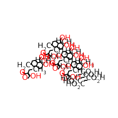 C=C1CC[C@@H]2[C@](C)(CO)[C@H](O)CC[C@@]2(C)[C@@H]1CCC1=C(O)COC1=O.C=C1CC[C@@H]2[C@](C)(CO)[C@H](O)CC[C@@]2(C)[C@@H]1CCC1=C(O)COC1=O.C=C1CC[C@@H]2[C@](C)(CO)[C@H](O)CC[C@@]2(C)[C@@H]1CCC1=C(O)COC1=O.C=C1CC[C@@H]2[C@](C)(CO)[C@H](O)CC[C@@]2(C)[C@@H]1CCC1=C(O)COC1=O.O=C(O)CCC(=O)O.O=C(O)CCC(=O)O.O=C(O)CCC(=O)O